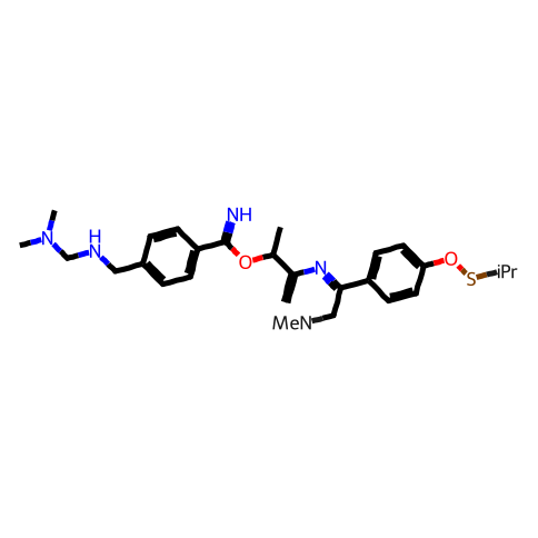 C=C(/N=C(\CNC)c1ccc(OSC(C)C)cc1)C(C)OC(=N)c1ccc(CNCN(C)C)cc1